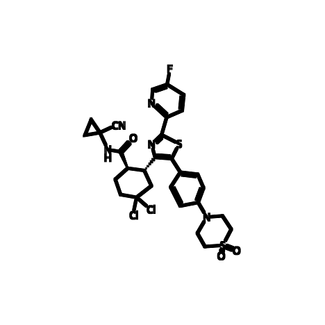 N#CC1(NC(=O)[C@@H]2CCC(Cl)(Cl)C[C@H]2c2nc(-c3ccc(F)cn3)sc2-c2ccc(N3CCS(=O)(=O)CC3)cc2)CC1